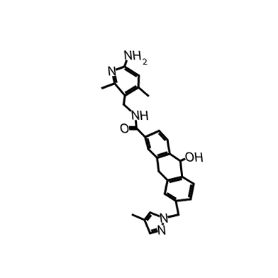 Cc1cnn(Cc2ccc3c(c2)Cc2cc(C(=O)NCc4c(C)cc(N)nc4C)ccc2C3O)c1